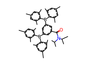 Cc1cc(C)c(B(c2cc(B(c3c(C)cc(C)cc3C)c3c(C)cc(C)cc3C)cc(C(=O)N(C(C)C)C(C)C)c2)c2c(C)cc(C)cc2C)c(C)c1